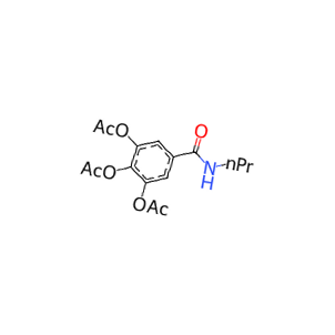 CCCNC(=O)c1cc(OC(C)=O)c(OC(C)=O)c(OC(C)=O)c1